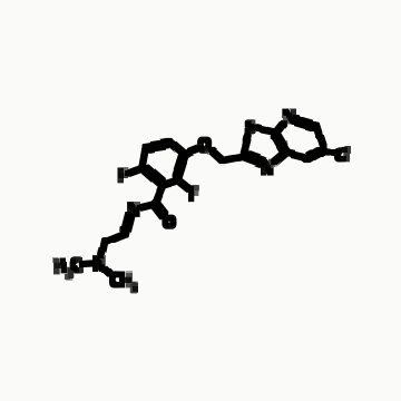 CN(C)CC=NC(=O)c1c(F)ccc(OCc2nc3cc(Cl)cnc3s2)c1F